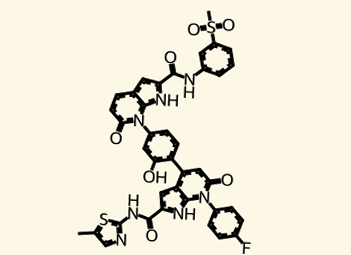 Cc1cnc(NC(=O)c2cc3c(-c4ccc(-n5c(=O)ccc6cc(C(=O)Nc7cccc(S(C)(=O)=O)c7)[nH]c65)cc4O)cc(=O)n(-c4ccc(F)cc4)c3[nH]2)s1